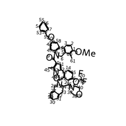 COc1cccc(CN(C(=O)c2cc(-c3ccc(OC(F)F)cc3C(=O)N3Cc4ccccc4CC3CN3CCOCC3)n(C)c2C)c2ccc(OCc3ccccc3)cc2)c1C